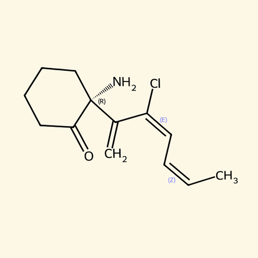 C=C(/C(Cl)=C\C=C/C)[C@]1(N)CCCCC1=O